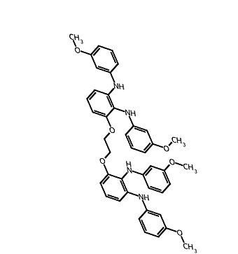 COc1cccc(Nc2cccc(OCCOc3cccc(Nc4cccc(OC)c4)c3Nc3cccc(OC)c3)c2Nc2cccc(OC)c2)c1